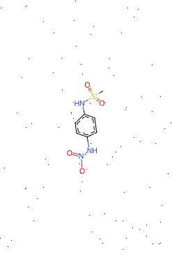 CS(=O)(=O)Nc1ccc(N[N+](=O)[O-])cc1